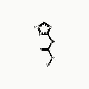 BNC(=S)Nc1nc[nH]n1